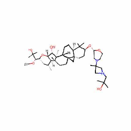 CCO[C@@H]([C@H]1C[C@@H](C)[C@H]2[C@H](O1)[C@H](O)[C@@]1(C)[C@@H]3CC[C@H]4C(C)(C)[C@@H](O[C@H]5CN(C6(C)CN(CC(C)(C)O)C6)CCO5)CC[C@@]45C[C@@]35CC[C@]21C)C(C)(C)O